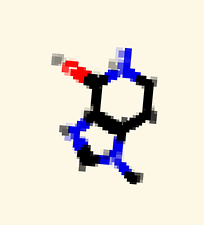 Cn1cnc2c1CCNC2=O